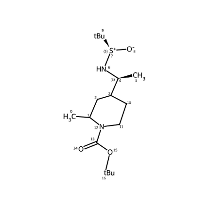 CC1CC([C@H](C)N[S@+]([O-])C(C)(C)C)CCN1C(=O)OC(C)(C)C